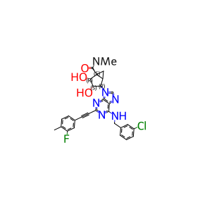 CNC(=O)[C@@]12CC1[C@@H](n1cnc3c(NCc4cccc(Cl)c4)nc(C#Cc4ccc(C)c(F)c4)nc31)[C@H](O)[C@@H]2O